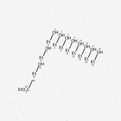 CCO.CCO.CCO.CCO.CCO.CCO.CCO.CCO.CCO.CCO.CCOC(C)=O